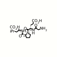 CC(C)C[C@H](NC(=O)[C@@H]1CCCN1C(=O)[C@H](CCC(=O)O)NC(=O)CN)C(=O)O